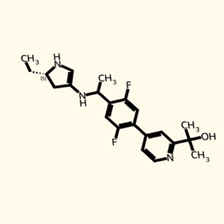 CC[C@H]1CC(NC(C)c2cc(F)c(-c3ccnc(C(C)(C)O)c3)cc2F)=CN1